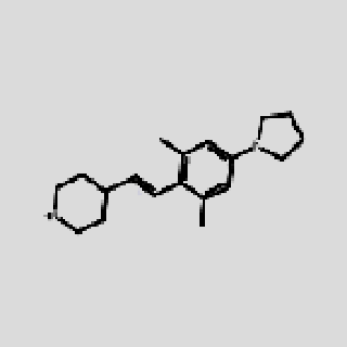 Cc1cc(N2CCCC2)cc(C)c1/C=C/C1CCNCC1